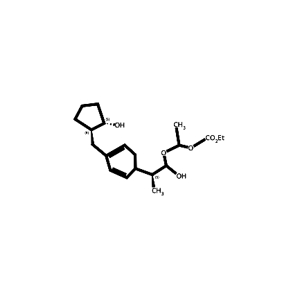 CCOC(=O)OC(C)OC(O)[C@@H](C)C1C=CC(C[C@H]2CCC[C@@H]2O)=CC1